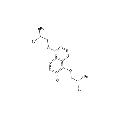 CCCCC(CC)COc1cccc2c(OCC(CC)CCCC)c(Cl)ccc12